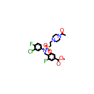 COC(=O)c1ccc(CN(c2ccc(F)c(Cl)c2)S(=O)(=O)CCN2CCN(C(C)=O)CC2)c(F)c1